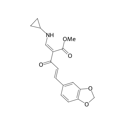 COC(=O)C(=CNC1CC1)C(=O)C=Cc1ccc2c(c1)OCO2